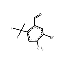 Cc1cc(C(F)(F)F)c(C=O)cc1Br